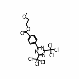 COCCOC(=O)c1ccc(-c2nc(C(Cl)(Cl)Cl)nc(C(Cl)(Cl)Cl)n2)cc1